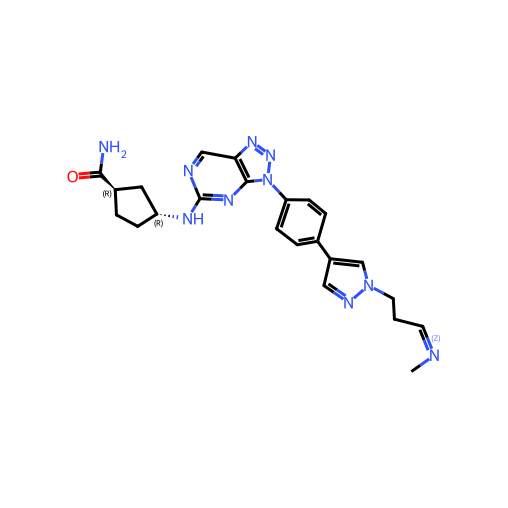 C/N=C\CCn1cc(-c2ccc(-n3nnc4cnc(N[C@@H]5CC[C@@H](C(N)=O)C5)nc43)cc2)cn1